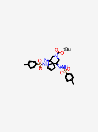 Cc1ccc(S(=O)(=O)N/N=C2\CN(C(=O)OC(C)(C)C)C/C(=N/NS(=O)(=O)c3ccc(C)cc3)C23CC=CC3)cc1